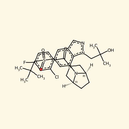 CC(C)(C)CS(=O)(=O)c1cc(N2[C@@H]3CC[C@H]2CN(C(=O)c2ccc(F)cc2Cl)C3)c2c(cnn2CC(C)(C)O)c1